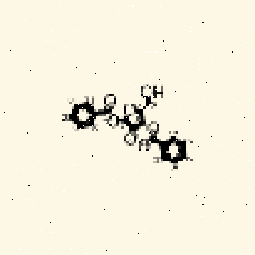 O=C(O[C@H]1O[C@H](CO)[C@@H](OC(=O)c2ccccc2)C1=O)c1ccccc1